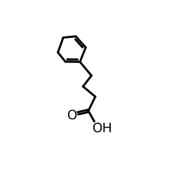 O=C(O)CCCC1=CCCC=C1